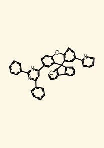 c1ccc(-c2cc(-c3ccc4c(c3)C3(c5cc(-c6ccccn6)ccc5O4)c4ccccc4-c4ccccc43)nc(-c3ccccc3)n2)cc1